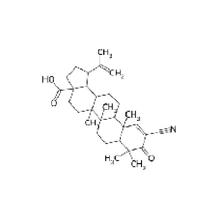 C=C(C)C1CCC2(C(=O)O)CCC3(C)C(CCC4C5(C)C=C(C#N)C(=O)C(C)(C)C5CCC43C)C12